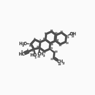 C#C[C@]1(O)[C@H](C)CC2C3CCC4=C(CC[C@@H](O)C4)C3[C@@H](CC=C)C[C@@]21C